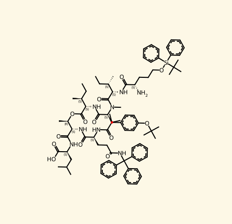 CC[C@H](C)[C@H](NC(=O)[C@H](Cc1ccc(OC(C)(C)C)cc1)N(C)C(=O)[C@@H](NC(=O)[C@@H](N)CCCO[Si](c1ccccc1)(c1ccccc1)C(C)(C)C)[C@@H](C)CC)C(=O)O[C@H](C)[C@H](NC(=O)[C@H](CCC(=O)NC(c1ccccc1)(c1ccccc1)c1ccccc1)NC(=O)C(C)C)C(=O)N[C@@H](CC(C)C)C(=O)O